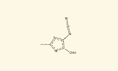 Cc1nc(C=O)c(N=[N+]=[N-])s1